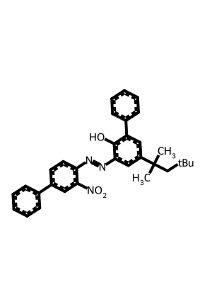 CC(C)(C)CC(C)(C)c1cc(/N=N/c2ccc(-c3ccccc3)cc2[N+](=O)[O-])c(O)c(-c2ccccc2)c1